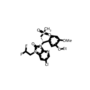 CCOc1cc([C@@H](CS(C)(=O)=O)n2c(=O)n(CC(F)F)c3cc(Cl)cnc32)ccc1OC